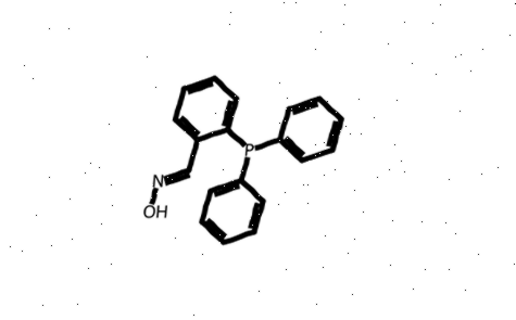 ON=Cc1ccccc1P(c1ccccc1)c1ccccc1